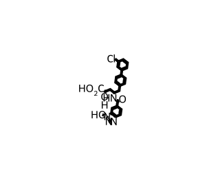 O=C(NC(Cc1ccc(-c2cccc(Cl)c2)cc1)CC(O)C(=O)O)c1ccc2nnn(O)c2c1